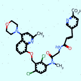 Cc1cc(N2CCOCC2)c2cccc(OCc3c(Cl)ccc(N(C)C(=O)CNC(=O)C=Cc4ccc(C(=O)O)nc4)c3Cl)c2n1